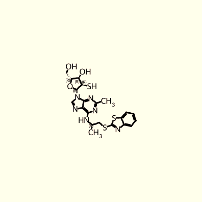 Cc1nc(N[C@H](C)CSc2nc3ccccc3s2)c2ncn([C@@H]3O[C@H](CO)[C@@H](O)[C@H]3S)c2n1